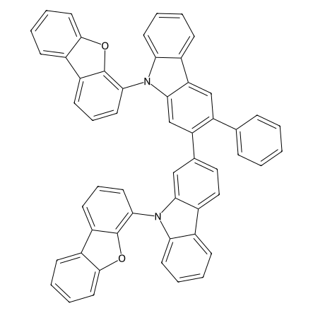 c1ccc(-c2cc3c4ccccc4n(-c4cccc5c4oc4ccccc45)c3cc2-c2ccc3c4ccccc4n(-c4cccc5c4oc4ccccc45)c3c2)cc1